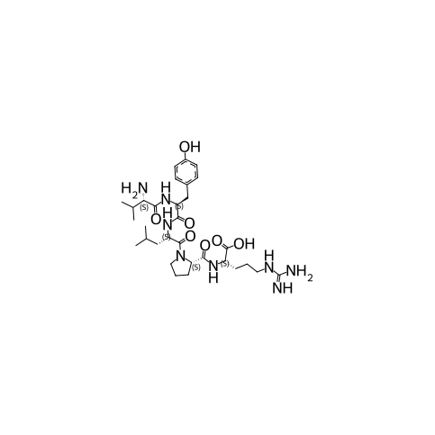 CC(C)C[C@H](NC(=O)[C@H](Cc1ccc(O)cc1)NC(=O)[C@@H](N)C(C)C)C(=O)N1CCC[C@H]1C(=O)N[C@@H](CCCNC(=N)N)C(=O)O